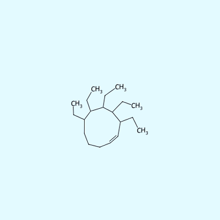 CCC1/C=C\CCCC(CC)C(CC)C(CC)C1CC